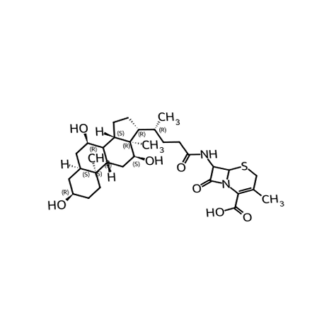 CC1=C(C(=O)O)N2C(=O)C(NC(=O)CC[C@@H](C)[C@H]3CC[C@H]4C5[C@H](O)C[C@@H]6C[C@H](O)CC[C@]6(C)[C@H]5C[C@H](O)[C@]34C)C2SC1